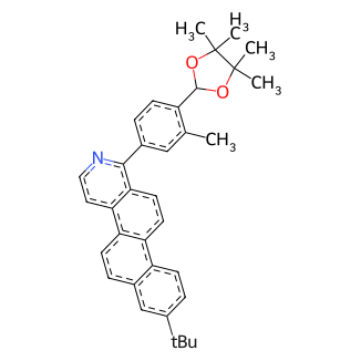 Cc1cc(-c2nccc3c2ccc2c4ccc(C(C)(C)C)cc4ccc32)ccc1C1OC(C)(C)C(C)(C)O1